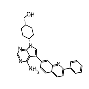 Nc1ncnc2c1c(-c1ccc3ccc(-c4ccccc4)nc3c1)cn2[C@H]1CC[C@@H](CO)CC1